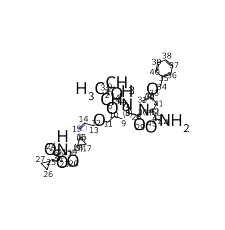 CC(C)(C)OC(=O)N[C@@H](CCCOC/C=C\[C@@H]1C[C@@H]1C(=O)NS(=O)(=O)C1CC1)C(=O)N1C[C@H](OCc2ccccc2)C[C@H]1C(N)=O